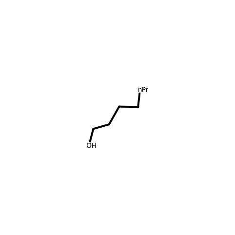 [CH2]CCCCCCO